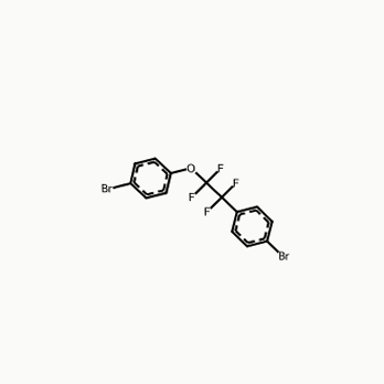 FC(F)(Oc1ccc(Br)cc1)C(F)(F)c1ccc(Br)cc1